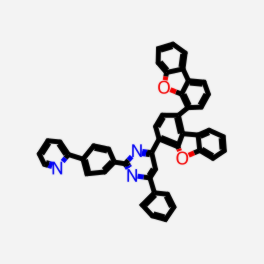 c1ccc(-c2cc(-c3ccc(-c4cccc5c4oc4ccccc45)c4c3oc3ccccc34)nc(-c3ccc(-c4ccccn4)cc3)n2)cc1